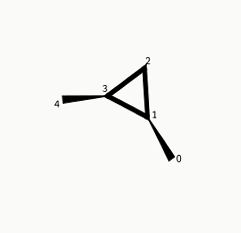 C[C@@H]1C[C@@H]1C